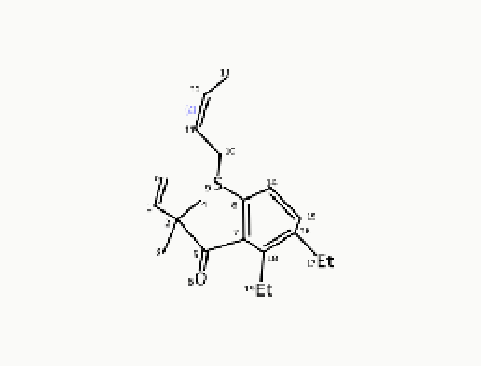 C=CC(C)(C)C(=O)c1c(SC/C=C\C)ccc(CC)c1CC